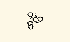 CC1(/C(C(=O)N2CCCCC2)=C(/C#N)n2cnc3cnccc32)CCOCC1